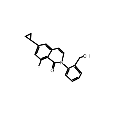 O=c1c2c(F)cc(C3CC3)cc2ccn1-c1ccccc1CO